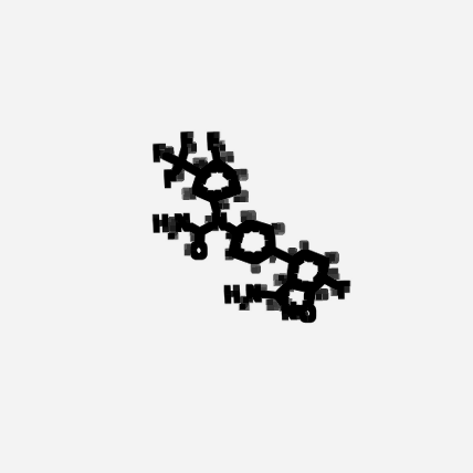 NC(=O)N(c1ccc(-c2ccc(F)c3onc(N)c23)cc1)c1ccc(F)c(C(F)(F)F)c1